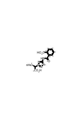 CCCCCCC(C(=O)O)n1nnc(NC(=O)c2ccccc2C(=O)O)n1